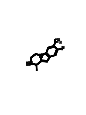 CC1NCCn2c1cc1cc(F)c(C(F)(F)F)cc12